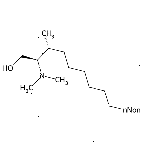 CCCCCCCCCCCCCCC[C@@H](C)[C@H](CO)N(C)C